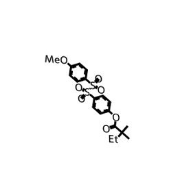 CCC(C)(C)C(=O)Oc1ccc(S(=O)(=O)S(=O)(=O)c2ccc(OC)cc2)cc1